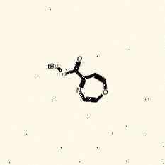 CC(C)(C)OC(=O)C1=NC=COC=C1